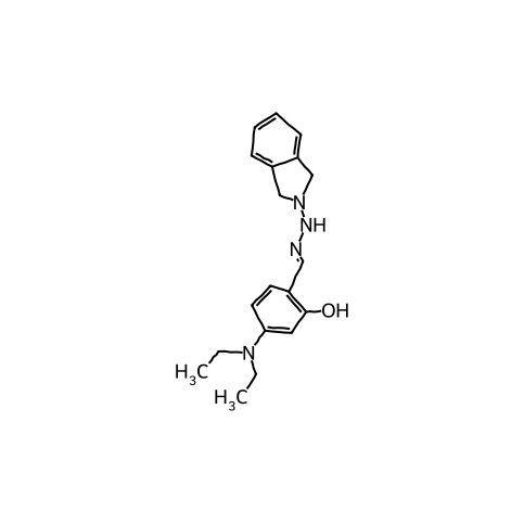 CCN(CC)c1ccc(/C=N/NN2Cc3ccccc3C2)c(O)c1